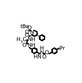 CC(C)c1ccc(COC(=O)NC(=N)c2ccc(CNC(=O)[C@H](C)NC(=O)[C@H]3C[C@@H](c4ccccc4)CCN3C(=O)OC(C)(C)C)cc2)cc1